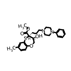 COC(=O)[C@]1(CCCN2CCN(c3ccccc3)CC2)Sc2cc(C)ccc2OC[C@@H]1O